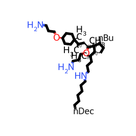 CCCCCCCCCCCCCCCCNCCC[C@@H](C)[C@H]1CC[C@@H](CCCC)[C@]1(C)[C@H](C[C@@H](C)[C@]1(C)CC[C@H](OCCCN)CC1)OCCCN